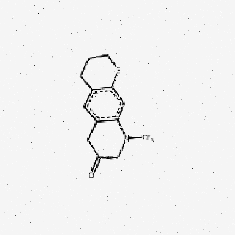 O=C1Cc2cc3c(cc2N(C(F)(F)F)C1)SCCC3